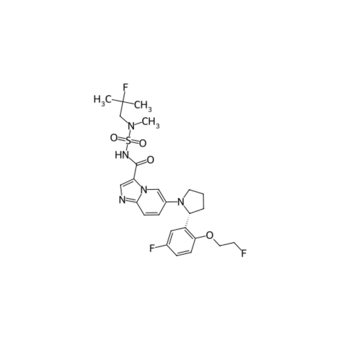 CN(CC(C)(C)F)S(=O)(=O)NC(=O)c1cnc2ccc(N3CCC[C@@H]3c3cc(F)ccc3OCCF)cn12